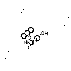 CO.O=C1C=C(N2CCCCC2)C(=O)N1.c1ccc2cc3ccccc3cc2c1